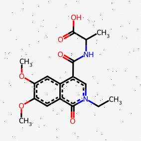 CCn1cc(C(=O)NC(C)C(=O)O)c2cc(OC)c(OC)cc2c1=O